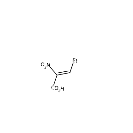 CCC=C(C(=O)O)[N+](=O)[O-]